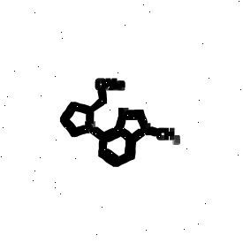 COC[C@@H]1CCCN1c1cccc2c1ncn2C